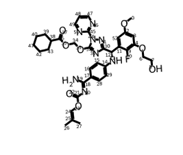 COc1cc(OCCO)c(F)c([C@@H](Nc2ccc(/C(N)=N/C(=O)OC=C(C)C)cc2)c2nc(OCOC(=O)C3CCCCC3)n(-c3ncccn3)n2)c1